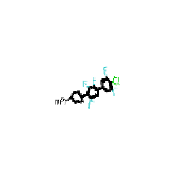 CCCC1CCC(c2c(F)cc(-c3cc(F)c(Cl)c(F)c3)c(F)c2F)CC1